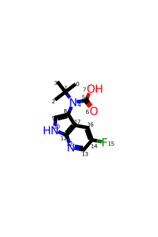 CC(C)(C)N(C(=O)O)c1c[nH]c2ncc(F)cc12